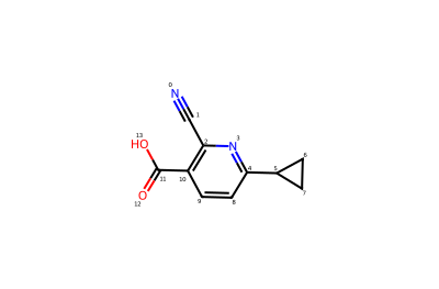 N#Cc1nc(C2CC2)ccc1C(=O)O